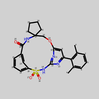 Cc1cccc(C)c1-c1cc2nc(n1)NS(=O)(=O)c1cccc(c1)C(=O)NC1(CCCC1)CO2